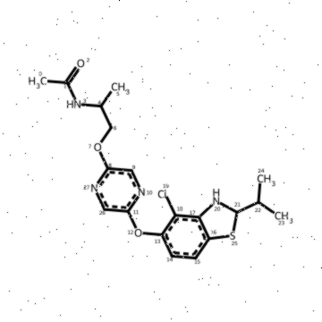 CC(=O)NC(C)COc1cnc(Oc2ccc3c(c2Cl)NC(C(C)C)S3)cn1